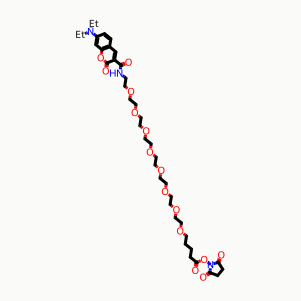 CCN(CC)c1ccc2cc(C(=O)NCCOCCOCCOCCOCCOCCOCCOCCOCCCCC(=O)ON3C(=O)CCC3=O)c(=O)oc2c1